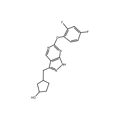 OC1CCC(Cc2n[nH]c3nc(Oc4ccc(F)cc4F)ncc23)C1